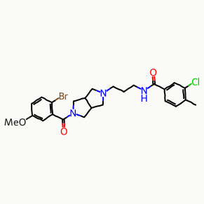 COc1ccc(Br)c(C(=O)N2CC3CN(CCCNC(=O)c4ccc(C)c(Cl)c4)CC3C2)c1